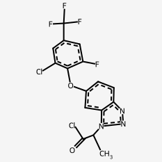 CC(C(=O)Cl)n1nnc2ccc(Oc3c(F)cc(C(F)(F)F)cc3Cl)cc21